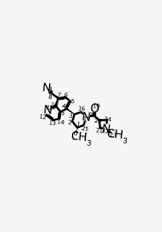 C[C@@H]1C[C@@H](c2ccc(C#N)c3ncccc23)CN(C(=O)C2CN(C)C2)C1